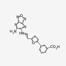 Nc1nc2nonc2nc1NN=Cc1ccc(-c2cccc(C(=O)O)c2)o1